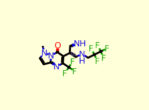 Cn1ccc2nc(C(F)(F)F)c(/C(C=N)=C/NCC(F)(F)C(F)(F)F)c(=O)n21